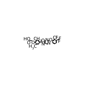 Cc1cc(-c2nc3cnc(Oc4cccc(C(F)(F)F)c4Cl)nc3o2)cc(C)c1OCC(=O)O